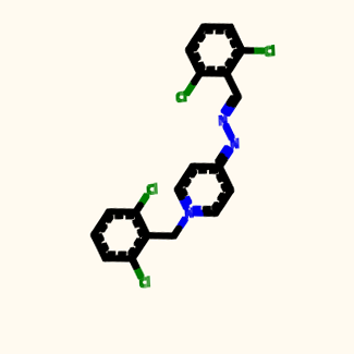 Clc1cccc(Cl)c1C=NN=c1ccn(Cc2c(Cl)cccc2Cl)cc1